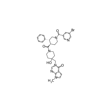 Cn1ccc2c(=O)n(CC3(O)CCN(C(=O)[C@@H]4CCN(C(=O)c5cncc(Br)c5)C[C@H]4c4ccccc4)CC3)cnc21